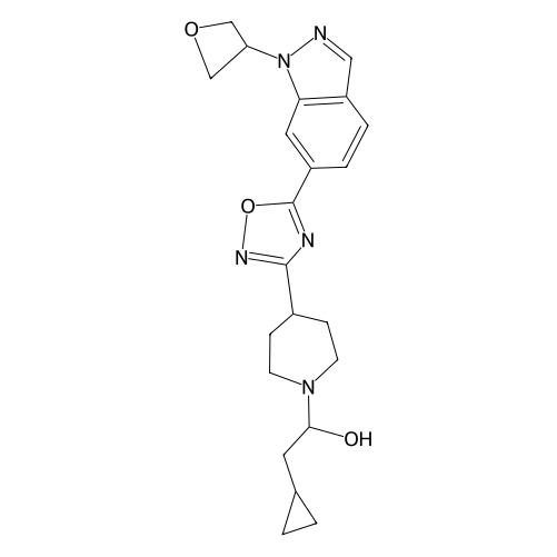 OC(CC1CC1)N1CCC(c2noc(-c3ccc4cnn(C5COC5)c4c3)n2)CC1